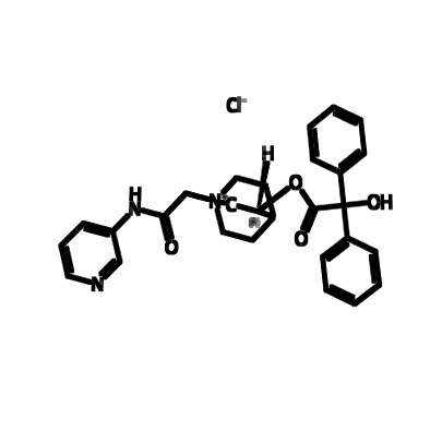 O=C(C[N+]12CCC(CC1)[C@@H](OC(=O)C(O)(c1ccccc1)c1ccccc1)C2)Nc1cccnc1.[Cl-]